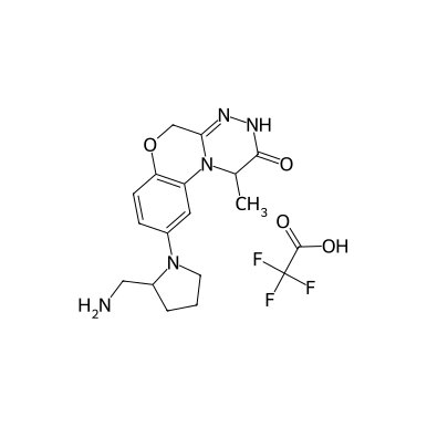 CC1C(=O)NN=C2COc3ccc(N4CCCC4CN)cc3N21.O=C(O)C(F)(F)F